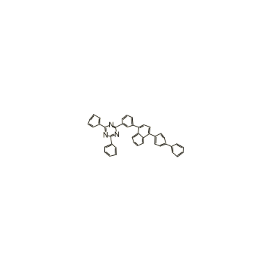 c1ccc(-c2ccc(-c3ccc(-c4cccc(-c5nc(-c6ccccc6)nc(-c6ccccc6)n5)c4)c4ccccc34)cc2)cc1